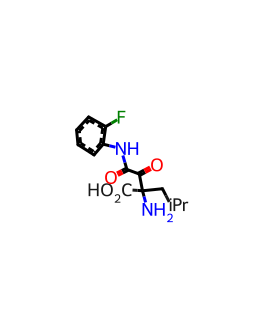 CC(C)CC(N)(C(=O)O)C(=O)C(=O)Nc1ccccc1F